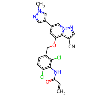 C=CC(=O)Nc1c(Cl)ccc(COc2cc(-c3cnn(C)c3)cn3ncc(C#N)c23)c1Cl